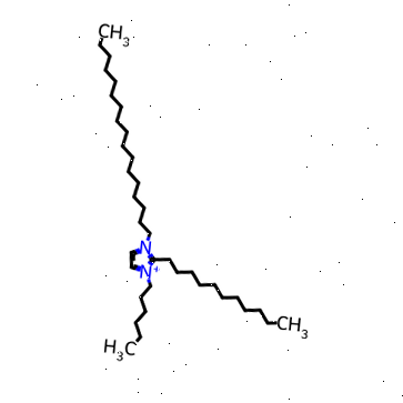 CCCCCCCCCCCCCCCCCn1cc[n+](CCCCCC)c1CCCCCCCCCCC